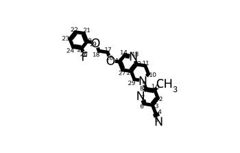 Cc1cc(C#N)cnc1N1CCc2ncc(OCCOc3ccccc3F)cc2C1